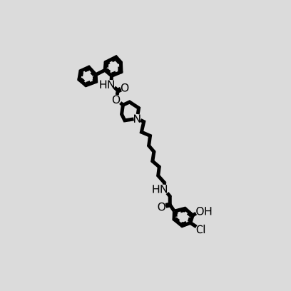 O=C(Nc1ccccc1-c1ccccc1)OC1CCN(CCCCCCCCCNCC(=O)c2ccc(Cl)c(O)c2)CC1